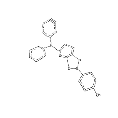 N#Cc1ccc(B2Oc3ccc(N(c4cc#ccc4)c4ccccc4)cc3O2)cc1